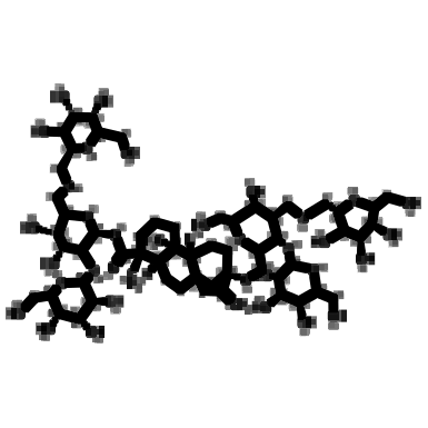 C=C1C[C@@]23CC[C@H]4[C@@](C)(CCC[C@@]4(C)C(=O)O[C@@H]4OC(COC[C@@H]5OC(CO)[C@@H](O)[C@@H](O)C5O)[C@@H](O)[C@@H](O)C4OC4OC(CO)[C@@H](O)[C@@H](O)[C@@H]4O)[C@@H]2CC[C@]1(OCC1OC(CO)[C@@H](O)[C@@H](COC[C@@H]2OC(CO)[C@@H](O)[C@@H](O)C2O)[C@@H]1OC1OC(CO)[C@@H](O)[C@@H](O)[C@@H]1O)C3